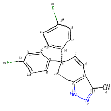 N#Cc1n[nH]c2c1C=CC(c1ccc(F)cc1)(c1ccc(F)cc1)C2